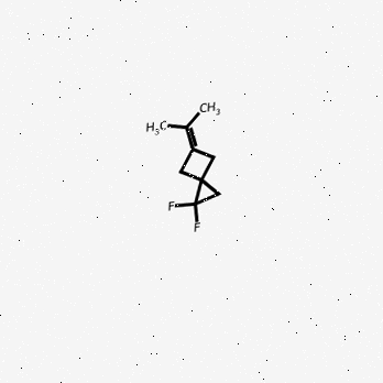 CC(C)=C1CC2(C1)CC2(F)F